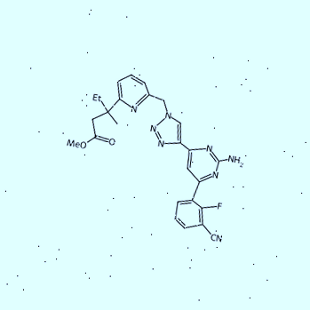 CCC(C)(CC(=O)OC)c1cccc(Cn2cc(-c3cc(-c4cccc(C#N)c4F)nc(N)n3)nn2)n1